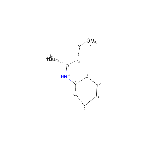 COCC[C@H](NC1CCCCC1)C(C)(C)C